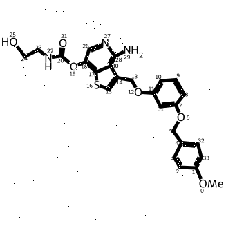 COc1ccc(COc2cccc(OCc3csc4c(OC(=O)NCCO)cnc(N)c34)c2)cc1